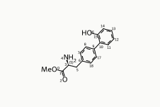 COC(=O)[C@@H](N)Cc1ccc(-c2ccccc2O)cc1